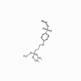 CO[Si](CCCOc1ccc(S(=O)(=O)N=[N+]=[N-])cc1)(OC)OC